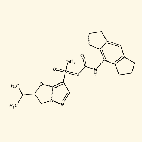 CC(C)C1Cn2ncc(S(N)(=O)=NC(=O)Nc3c4c(cc5c3CCC5)CCC4)c2O1